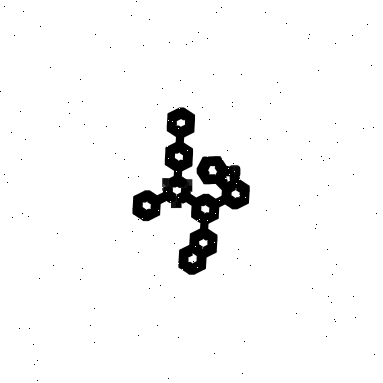 c1ccc(-c2ccc(-c3nc(-c4ccccc4)nc(-c4cc(-c5ccc6ccccc6c5)cc(-c5cccc6oc7ccccc7c56)c4)n3)cc2)cc1